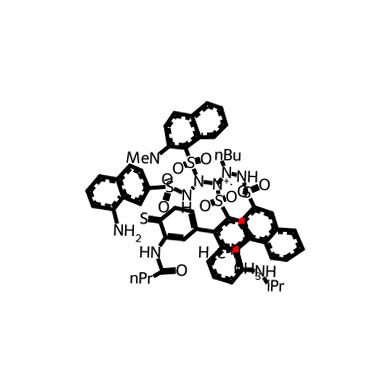 CCCCN(NS(=O)(=O)c1cc(N(C)C)c2ccccc2c1)[N+](N(NS(=O)(=O)c1ccc2cccc(N)c2c1)S(=O)(=O)c1c(NC)ccc2ccccc12)S(=O)(=O)c1ccc2c(NC(C)C)cccc2c1C1=CCC(=S)C(NC(=O)CCC)=C1